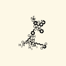 CC(C)C(NC(=O)CCCCCN1C(=O)C=CC1=O)C(=O)NC(CCCNC(N)=O)C(=O)Nc1ccc(COC(=O)N(c2nc3ccccc3s2)C(c2ccc(OC(F)(F)F)cc2)c2ccc3cccnc3c2O)cc1